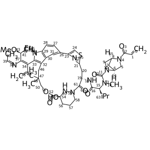 C=CC(=O)N1C[C@@H]2C[C@H]1CN2C(=O)N(C)[C@H](C(=O)N[C@H]1Cc2nc(cs2)-c2ccc3c(c2)c(c(/C(C=C)=C(/N=C\C)[C@H](C)OC)n3CC)CC(C)(C)COC(=O)[C@@]2(O)CCCN(N2)C1=O)C(C)C